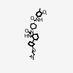 COc1cc(NC(=O)[C@H]2CC[C@@H](n3c(=O)[nH]c4c(-c5cccc(OCCN(C)C)c5)cccc43)CC2)ccc1C